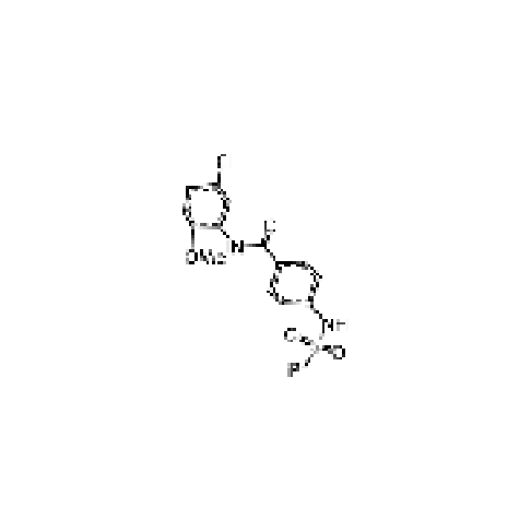 COc1ccc(Cl)cc1NC(=O)c1ccc(NS(=O)(=O)C(C)C)cc1